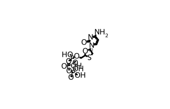 Nc1ccn([C@@H]2CSC(COP(=O)(O)OP(=O)(O)OP(=O)(O)O)O2)c(=O)n1